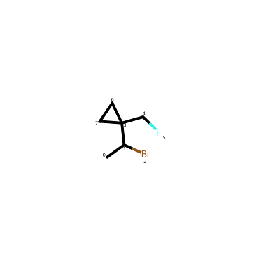 CC(Br)C1(CF)CC1